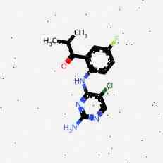 CC(C)C(=O)c1cc(F)ccc1Nc1nc(N)ncc1Cl